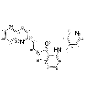 O=C1c2c(cccc2NCc2ccncc2)CN1CCc1ccc2ccccc2n1